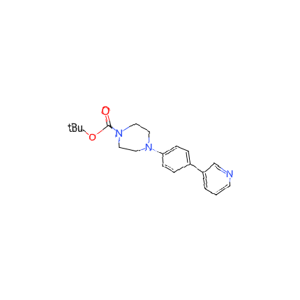 CC(C)(C)OC(=O)N1CCN(c2ccc(-c3cccnc3)cc2)CC1